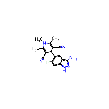 CC1=C(C#N)C(c2cc3c(N)n[nH]c3cc2F)C(C#N)=C(C)N1C